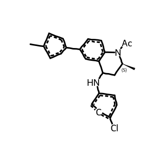 CC(=O)N1c2ccc(-c3ccc(C)cc3)cc2C(Nc2ccc(Cl)cc2)C[C@@H]1C